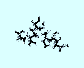 CC[C@H](C)[C@@H]([C@@H](CC(=O)N1CCC[C@H]1[C@H](OC)[C@@H](C)C(=O)N(C)N)OC)N(C)C(=O)[C@@H](NC(=O)[C@@H](C)N(C)C)C(C)C